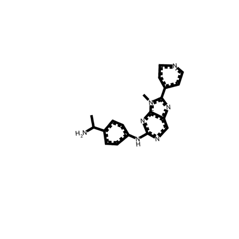 CC(N)c1ccc(Nc2ncc3nc(-c4ccncc4)n(C)c3n2)cc1